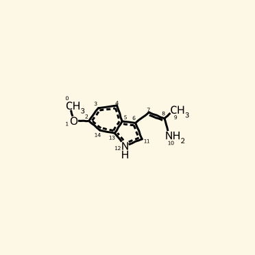 COc1ccc2c(/C=C(/C)N)c[nH]c2c1